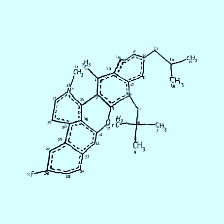 Cc1c2c(c(CC(C)(C)C)c3cc(CC(C)C)ccc13)Oc1cc3ccc(F)cc3c3cc[n+](C)c-2c13